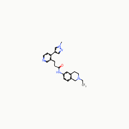 Cn1cc(-c2ccncc2CCC(=O)Nc2ccc3c(c2)CCN(CC(F)(F)F)C3)cn1